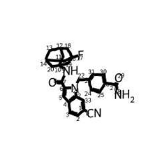 N#Cc1ccc2cc(C(=O)NC34CC5CC(CC(F)(C5)C3)C4)n(Cc3ccc(C(N)=O)cc3)c2c1